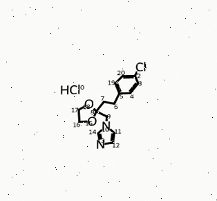 Cl.Clc1ccc(CCC2(Cn3ccnc3)OCCO2)cc1